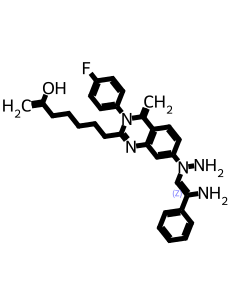 C=C(O)CCCCCC1=Nc2cc(N(N)/C=C(\N)c3ccccc3)ccc2C(=C)N1c1ccc(F)cc1